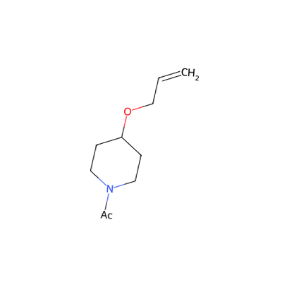 C=CCOC1CCN(C(C)=O)CC1